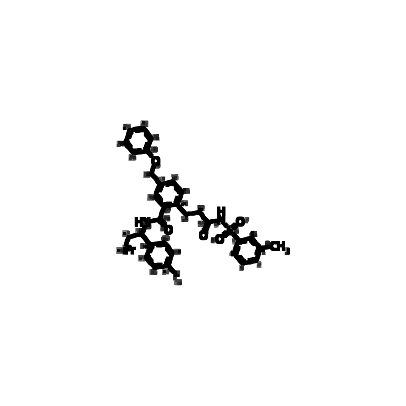 Cc1cccc(S(=O)(=O)NC(=O)CCc2ccc(COc3ccccc3)cc2C(=O)NC(CC(C)C)c2ccc(F)cc2)c1